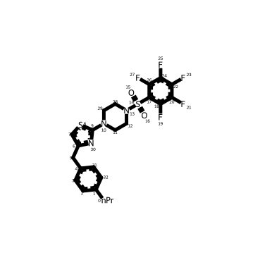 CCCc1ccc(Cc2csc(N3CCN(S(=O)(=O)c4c(F)c(F)c(F)c(F)c4F)CC3)n2)cc1